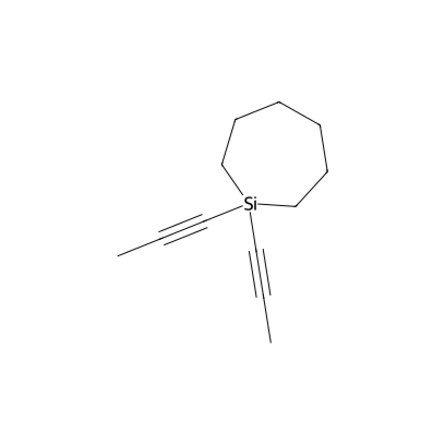 CC#C[Si]1(C#CC)CCCCCC1